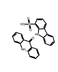 Nc1ccccc1C(=O)c1ccccc1.O=S(=O)(O)c1cccc2c1[nH]c1ccccc12